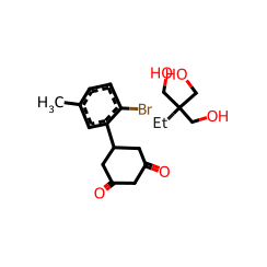 CCC(CO)(CO)CO.Cc1ccc(Br)c(C2CC(=O)CC(=O)C2)c1